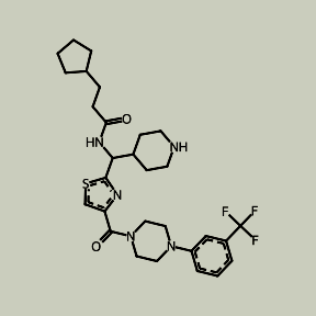 O=C(CCC1CCCC1)NC(c1nc(C(=O)N2CCN(c3cccc(C(F)(F)F)c3)CC2)cs1)C1CCNCC1